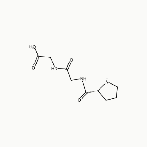 O=C(O)CNC(=O)CNC(=O)[C@H]1CCCN1